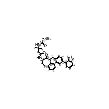 CC(C)(CC(=O)N[C@@H]1CCc2ccccc2N(Cc2ccc(-c3ccccc3N)cc2)C1=O)NC(=O)OC(C)(C)C